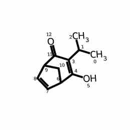 CC(C)C1=C(O)C2C=CC(C2)C1=O